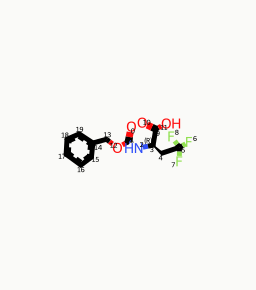 O=C(N[C@H](CC(F)(F)F)C(=O)O)OCc1ccccc1